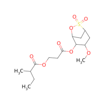 CCC(C)C(=O)OCCC(=O)OC1C(OC)CC2CC1OS2(=O)=O